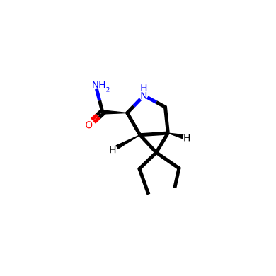 CCC1(CC)[C@@H]2[C@@H](C(N)=O)NC[C@@H]21